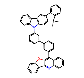 CC1(C)c2ccccc2-c2cc3c4ccccc4n(-c4cccc(-c5cccc(-c6c7ccccc7nc7c6oc6ccccc67)c5)c4)c3cc21